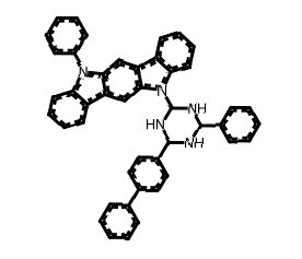 c1ccc(-c2ccc(C3NC(c4ccccc4)NC(n4c5ccccc5c5cc6c(cc54)c4ccccc4n6-c4ccccc4)N3)cc2)cc1